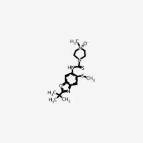 CSc1cc2nc(C(C)(C)C)oc2cc1NC(=S)N1CC[N+](C)([O-])CC1